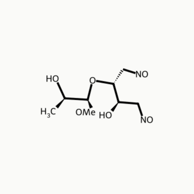 CO[C@H](O[C@H](CN=O)[C@H](O)CN=O)[C@@H](C)O